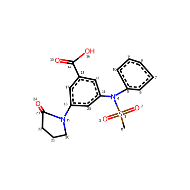 CS(=O)(=O)N(c1ccccc1)c1cc(C(=O)O)cc(N2CCCC2=O)c1